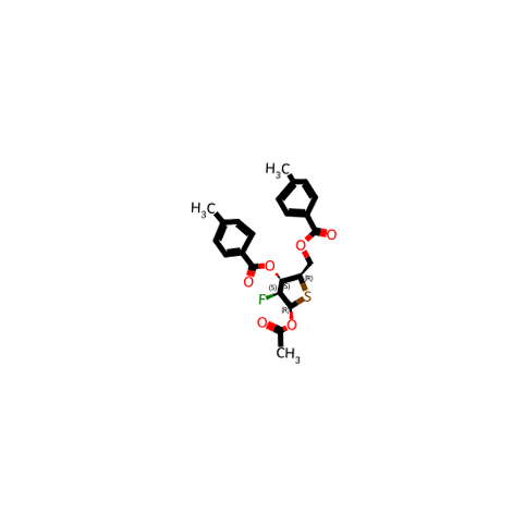 CC(=O)O[C@@H]1S[C@H](COC(=O)c2ccc(C)cc2)[C@@H](OC(=O)c2ccc(C)cc2)[C@@H]1F